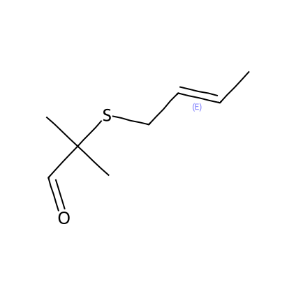 C/C=C/CSC(C)(C)C=O